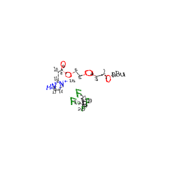 CCCCOCCOCCOC(=O)Cc1[nH]cc[n+]1C.F[B-](F)(F)F